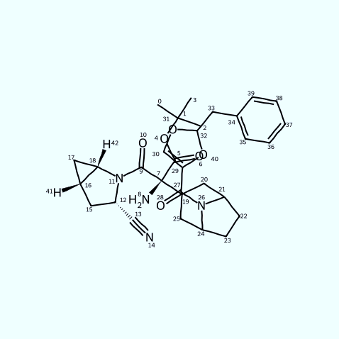 CC(C)(C)OC(=O)[C@@](N)(C(=O)N1[C@H](C#N)C[C@@H]2C[C@@H]21)C1CC2CCC(C1)N2C(=O)C1=COC(Cc2ccccc2)O1